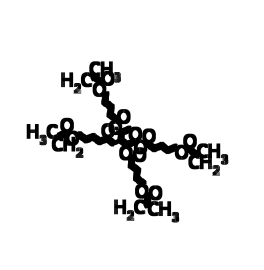 C=C(C)C(=O)OCCCCC(=O)C[C@H]1[C@H](OC(=O)CCCCOC(=O)C(=C)C)COC(OC(=O)CCCCOC(=O)C(=C)C)[C@@H]1OC(=O)CCCCOC(=O)C(=C)C